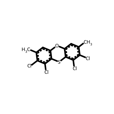 Cc1cc2c(c(Cl)c1Cl)Sc1c(cc(C)c(Cl)c1Cl)O2